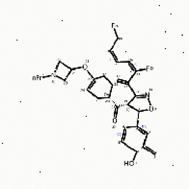 C=C/C=C(\C=C/CO)C1ON=C(C(=C)/C(F)=C\C=C/CF)[C@H]1C(=O)[C@@H]1CC=C(OC2CN(CCC)C2)CC1